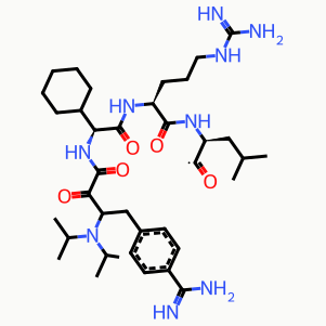 CC(C)C[C@@H]([C]=O)NC(=O)[C@H](CCCNC(=N)N)NC(=O)[C@@H](NC(=O)C(=O)C(Cc1ccc(C(=N)N)cc1)N(C(C)C)C(C)C)C1CCCCC1